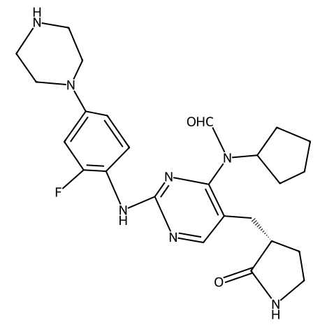 O=CN(c1nc(Nc2ccc(N3CCNCC3)cc2F)ncc1C[C@@H]1CCNC1=O)C1CCCC1